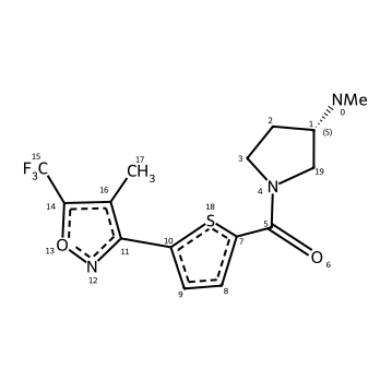 CN[C@H]1CCN(C(=O)c2ccc(-c3noc(C(F)(F)F)c3C)s2)C1